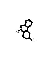 CC(C)(C)C1CCc2c(c3ccccc3c[n+]2[O-])C1